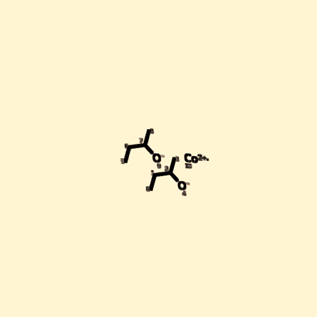 CCC(C)[O-].CCC(C)[O-].[Co+2]